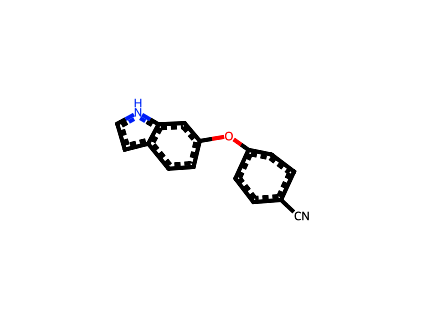 N#Cc1ccc(Oc2ccc3cc[nH]c3c2)cc1